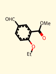 CCOc1ccc(C=O)cc1C(=O)OC